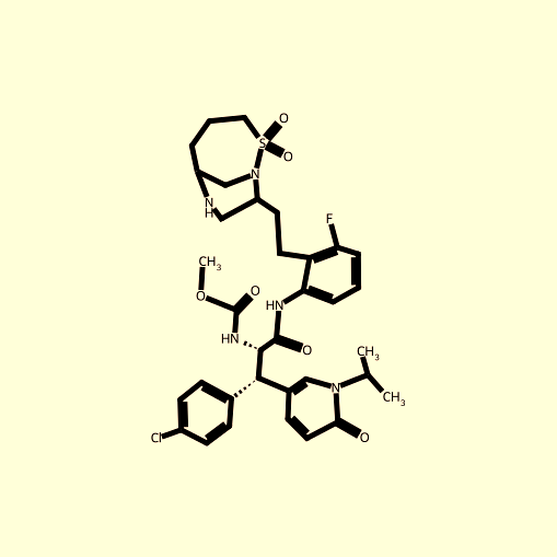 COC(=O)N[C@H](C(=O)Nc1cccc(F)c1CCC1CNC2CCCS(=O)(=O)N1C2)[C@@H](c1ccc(Cl)cc1)c1ccc(=O)n(C(C)C)c1